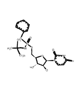 CCOC(=O)C(C)(C)N[P@@](=O)(OC[C@H]1O[C@@H](n2ccc(=O)[nH]c2=O)[C@@H](Cl)[C@@H]1O)Oc1ccccc1